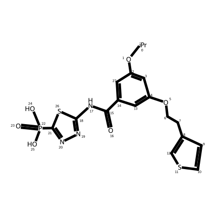 CC(C)Oc1cc(OCCc2ccsc2)cc(C(=O)Nc2nnc(P(=O)(O)O)s2)c1